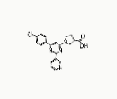 O=C(O)[C@@H]1CCN(c2cc(-c3ccc(Cl)cc3)nc(-c3cccnc3)n2)C1